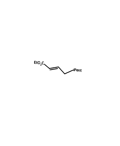 CCCC(C)CC=CC(=O)OCC